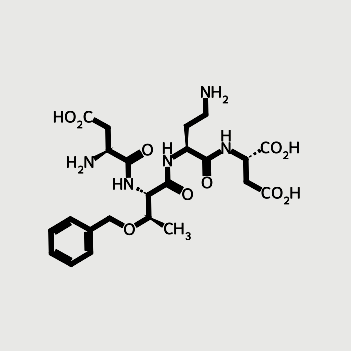 C[C@@H](OCc1ccccc1)[C@H](NC(=O)[C@@H](N)CC(=O)O)C(=O)N[C@@H](CCN)C(=O)N[C@@H](CC(=O)O)C(=O)O